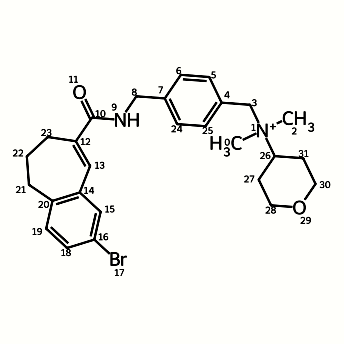 C[N+](C)(Cc1ccc(CNC(=O)C2=Cc3cc(Br)ccc3CCC2)cc1)C1CCOCC1